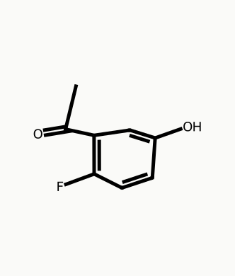 CC(=O)c1cc(O)ccc1F